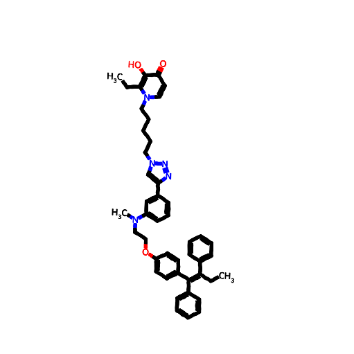 CC/C(=C(\c1ccccc1)c1ccc(OCCN(C)c2cccc(-c3cn(CCCCCn4ccc(=O)c(O)c4CC)nn3)c2)cc1)c1ccccc1